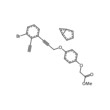 C#Cc1c(Br)cccc1C#CCOc1ccc(OCC(=O)OC)cc1.c1cc2cc-2c1